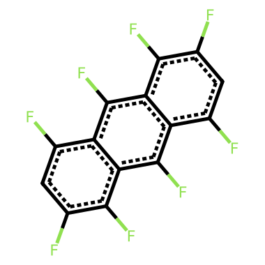 Fc1cc(F)c2c(F)c3c(F)c(F)cc(F)c3c(F)c2c1F